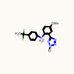 CCn1nnc(-c2cc(OC)ccc2N(C)c2ccc(C(C)(F)F)cc2)n1